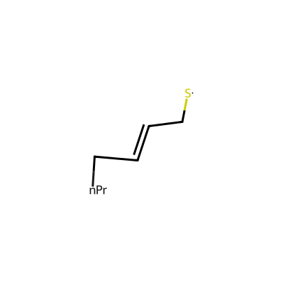 CCCCC=CC[S]